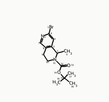 CC1c2cc(Br)ncc2CCN1C(=O)OC(C)(C)C